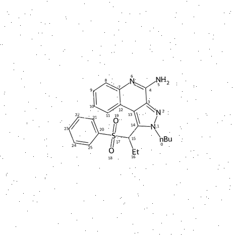 CCCCn1nc2c(N)nc3ccccc3c2c1C(CC)S(=O)(=O)c1ccccc1